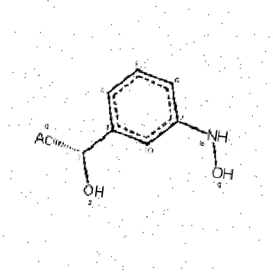 CC(=O)[C@@H](O)c1cccc(NO)c1